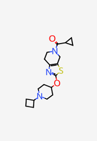 O=C(C1CC1)N1CCc2nc(OC3CCN(C4CCC4)CC3)sc2C1